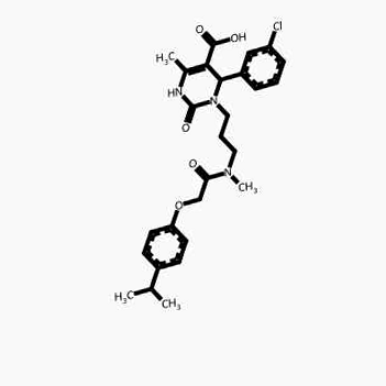 CC1=C(C(=O)O)C(c2cccc(Cl)c2)N(CCCN(C)C(=O)COc2ccc(C(C)C)cc2)C(=O)N1